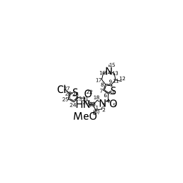 CO[C@H]1CN(C(=O)c2cc3c(s2)C(C)CN(C)CC3)C[C@@H]1NC(=O)c1ccc(Cl)s1